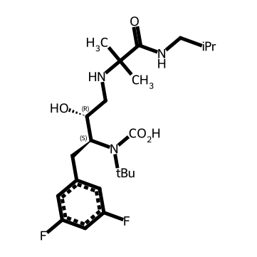 CC(C)CNC(=O)C(C)(C)NC[C@@H](O)[C@H](Cc1cc(F)cc(F)c1)N(C(=O)O)C(C)(C)C